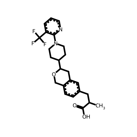 CC(Cc1ccc2c(c1)CC(C1CCN(c3ncccc3C(F)(F)F)CC1)OC2)C(=O)O